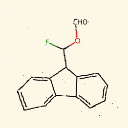 O=[C]OC(F)C1c2ccccc2-c2ccccc21